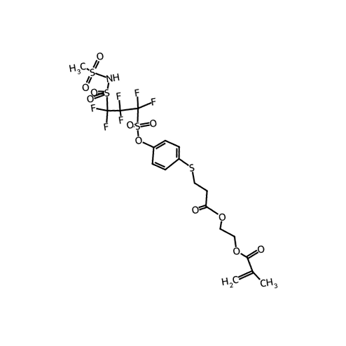 C=C(C)C(=O)OCCOC(=O)CCSc1ccc(OS(=O)(=O)C(F)(F)C(F)(F)C(F)(F)S(=O)(=O)NS(C)(=O)=O)cc1